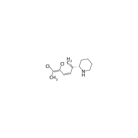 C=C(/C=C\C(Cl)=C(/C)Cl)[C@@H]1CCCCN1